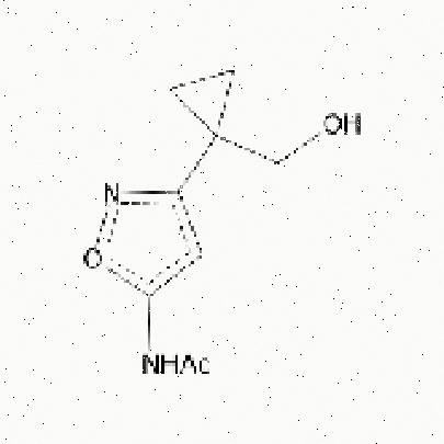 CC(=O)Nc1cc(C2(CO)CC2)no1